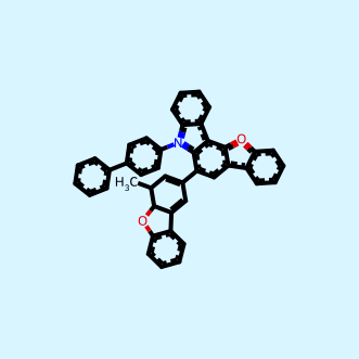 CC1C=C(c2cc3c4ccccc4oc3c3c4ccccc4n(-c4ccc(-c5ccccc5)cc4)c23)C=C2c3ccccc3OC21